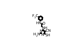 N#Cc1c(S)nc(N)nc1NCC(=O)Nc1cccc(C(F)(F)F)c1